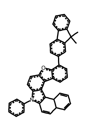 CC1(C)c2ccccc2-c2ccc(-c3cccc4c3oc3ccc5c(c6c(n5-c5ccccc5)C=CC5C=CC=CC65)c34)cc21